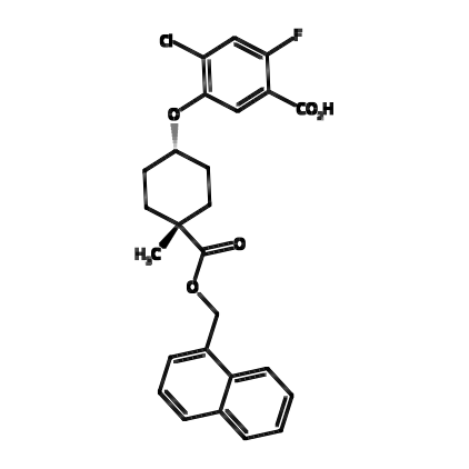 C[C@]1(C(=O)OCc2cccc3ccccc23)CC[C@@H](Oc2cc(C(=O)O)c(F)cc2Cl)CC1